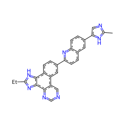 CCc1nc2c3ncncc3c3cc(-c4ccc5cc(-c6cnc(C)[nH]6)ccc5n4)ccc3c2[nH]1